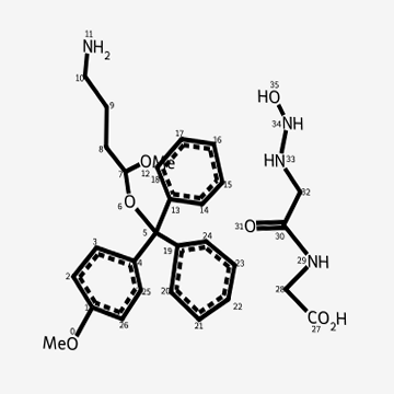 COc1ccc(C(OC(CCCN)OC)(c2ccccc2)c2ccccc2)cc1.O=C(O)CNC(=O)CNNO